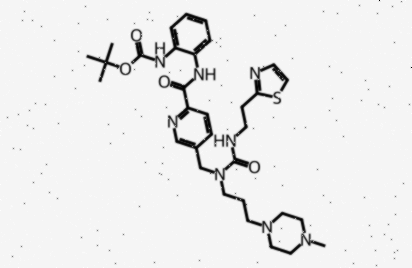 CN1CCN(CCCN(Cc2ccc(C(=O)Nc3ccccc3NC(=O)OC(C)(C)C)nc2)C(=O)NCCc2nccs2)CC1